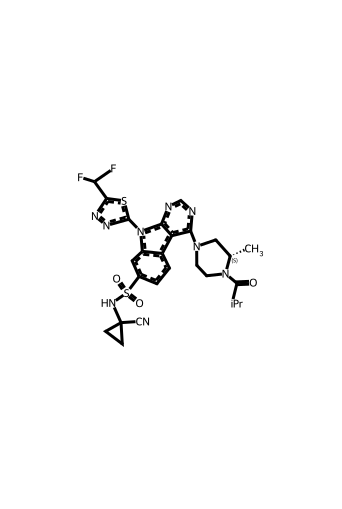 CC(C)C(=O)N1CCN(c2ncnc3c2c2ccc(S(=O)(=O)NC4(C#N)CC4)cc2n3-c2nnc(C(F)F)s2)C[C@@H]1C